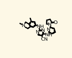 Cc1cc(Nc2ncc(C#N)c(Nc3cccc(N4CCCC4=O)n3)n2)cc2c1CN(C)CC2